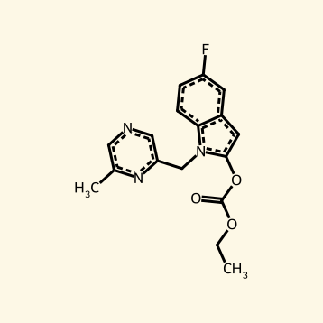 CCOC(=O)Oc1cc2cc(F)ccc2n1Cc1cncc(C)n1